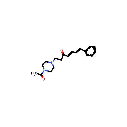 CC(=O)N1CCN(CCC(=O)/C=C/C=C/c2ccccc2)CC1